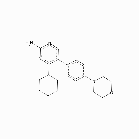 Nc1ncc(-c2ccc(N3CCOCC3)cc2)c(C2CCCCC2)n1